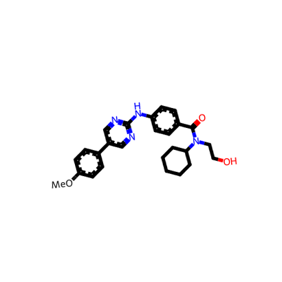 COc1ccc(-c2cnc(Nc3ccc(C(=O)N(CCO)C4CCCCC4)cc3)nc2)cc1